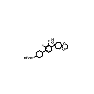 CCCCCC1CCC(c2ccc(C3(O)CCC4(CC3)OCCO4)c(F)c2F)CC1